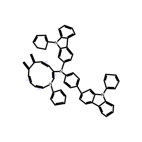 C=C1/C=C\C=C/N(c2ccccc2)/C=C(N(c2ccc(-c3ccc4c5ccccc5n(-c5ccccc5)c4c3)cc2)c2ccc3c4ccccc4n(C4=CC=CCC4)c3c2)\C=C/C1=C